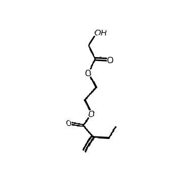 C=C(CC)C(=O)OCCOC(=O)CO